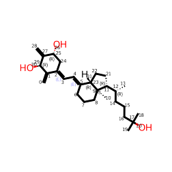 C=C1/C(=C/C=C2\CCC[C@]3(C)[C@@H]([C@H](C)CCCC(C)(C)O)CC[C@@H]23)C[C@@H](O)C(=C)[C@@H]1O